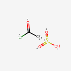 O=C(Cl)C(F)(F)F.O=[SH](=O)O